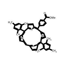 COC(=O)c1ccc(-c2c3nc(c(-c4c(C)cc(C)cc4C)c4ccc(cc5nc(c(-c6c(C)cc(C)cc6C)c6ccc2[nH]6)C=C5)[nH]4)C=C3)cc1